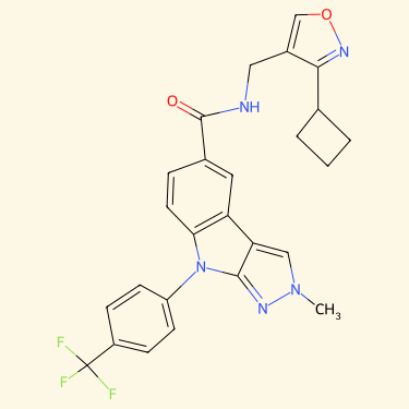 Cn1cc2c3cc(C(=O)NCc4conc4C4CCC4)ccc3n(-c3ccc(C(F)(F)F)cc3)c2n1